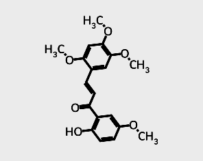 COc1ccc(O)c(C(=O)C=Cc2cc(OC)c(OC)cc2OC)c1